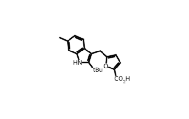 Cc1ccc2c(Cc3ccc(C(=O)O)o3)c(C(C)(C)C)[nH]c2c1